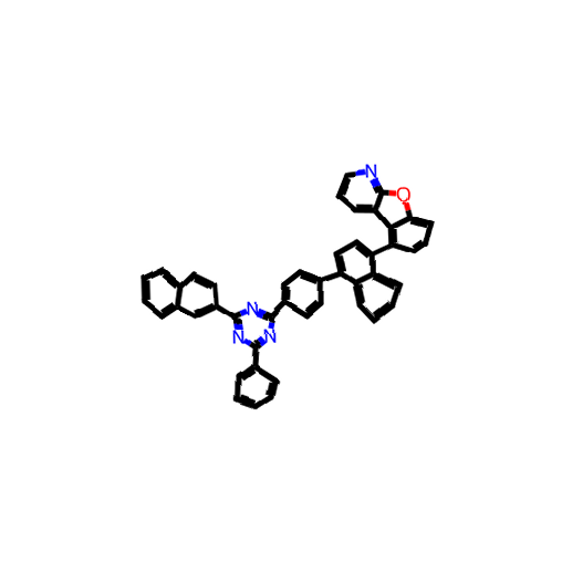 c1ccc(-c2nc(-c3ccc(-c4ccc(-c5cccc6oc7ncccc7c56)c5ccccc45)cc3)nc(-c3ccc4ccccc4c3)n2)cc1